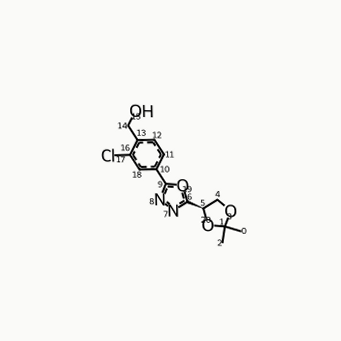 CC1(C)OC[C@H](c2nnc(-c3ccc(CO)c(Cl)c3)o2)O1